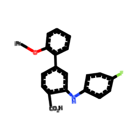 CC(C)Oc1ccccc1-c1ccc(C(=O)O)c(Nc2ccc(F)cc2)c1